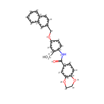 O=C(Nc1ccc(OCc2ccc3ccccc3c2)cc1C(=O)O)c1ccc2c(c1)OCCO2